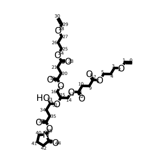 C=COCCCOC(=O)CCC(=O)OCC(COC(=O)CCC(=O)OCCCOC=C)O[C@H](O)CCC(=O)ON1CCCC1=O